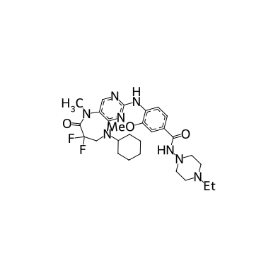 CCN1CCN(NC(=O)c2ccc(Nc3ncc4c(n3)N(C3CCCCC3)CC(F)(F)C(=O)N4C)c(OC)c2)CC1